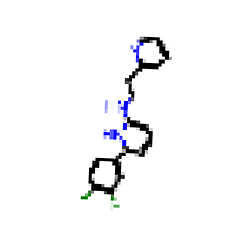 Fc1ccc(C2C=C[C]=C(NCCc3ccccn3)N2)cc1F